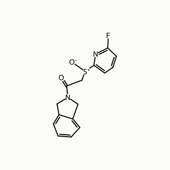 O=C(C[S+]([O-])c1cccc(F)n1)N1Cc2ccccc2C1